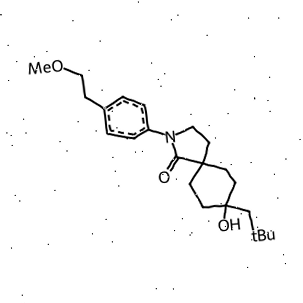 COCCc1ccc(N2CCC3(CCC(O)(CC(C)(C)C)CC3)C2=O)cc1